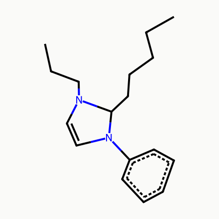 CCCCCC1N(CCC)C=CN1c1ccccc1